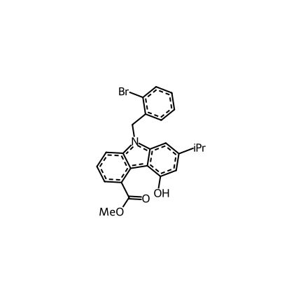 COC(=O)c1cccc2c1c1c(O)cc(C(C)C)cc1n2Cc1ccccc1Br